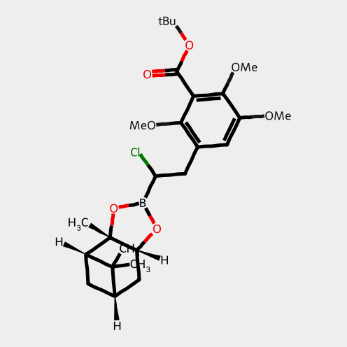 COc1cc(CC(Cl)B2O[C@@H]3C[C@@H]4C[C@@H](C4(C)C)[C@]3(C)O2)c(OC)c(C(=O)OC(C)(C)C)c1OC